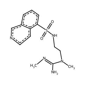 CN=C(N)N(C)CCNS(=O)(=O)c1cccc2cnccc12